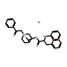 O=C(C[N+]12CCC(CC1)C(OC(=O)C(Cc1ccccc1)Nc1ccccc1)C2)c1ccccc1.[Br-]